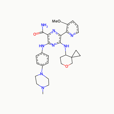 COc1cccnc1-c1nc(C(N)=O)c(Nc2ccc(N3CCN(C)CC3)cc2)nc1NC1CCOCC12CC2